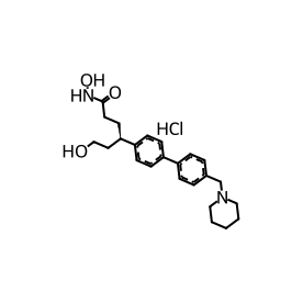 Cl.O=C(CC[C@H](CCO)c1ccc(-c2ccc(CN3CCCCC3)cc2)cc1)NO